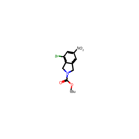 CC(C)(C)OC(=O)N1Cc2cc([N+](=O)[O-])cc(Br)c2C1